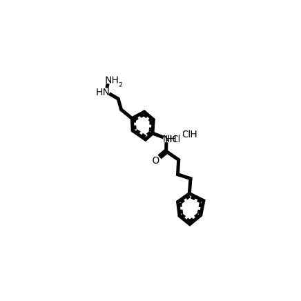 Cl.Cl.NNCCc1ccc(NC(=O)CCCc2ccccc2)cc1